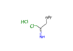 CCCCC(=N)Cl.Cl